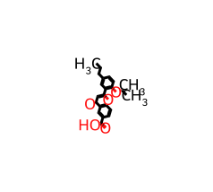 CCCc1ccc(OC(C)C)c(-c2cc(=O)c3cc(C(=O)O)ccc3o2)c1